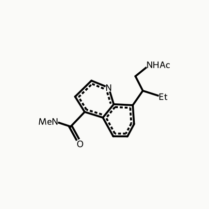 CCC(CNC(C)=O)c1cccc2c(C(=O)NC)ccnc12